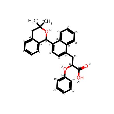 CC1(C)Cc2ccccc2C(c2ccc(CC(Oc3ccccc3)C(=O)O)c3ccccc23)O1